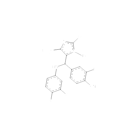 CC(C)n1c(Br)nc(C(=O)O)c1C(Nc1ccc(F)c(Cl)c1)c1ccc(C#N)c(F)c1